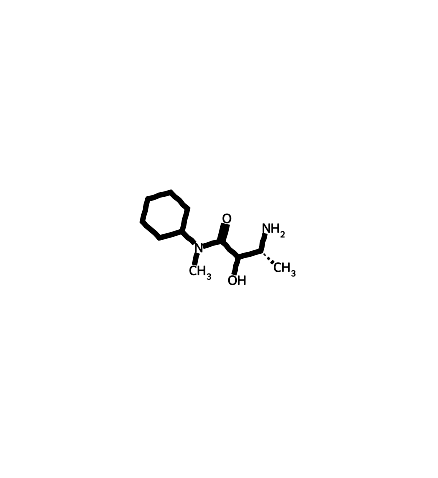 C[C@@H](N)C(O)C(=O)N(C)C1CCCCC1